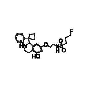 Cl.O=S(=O)(CCCF)NCCOc1ccc2c(c1)C(C1(c3ccccn3)CCC1)NCC2